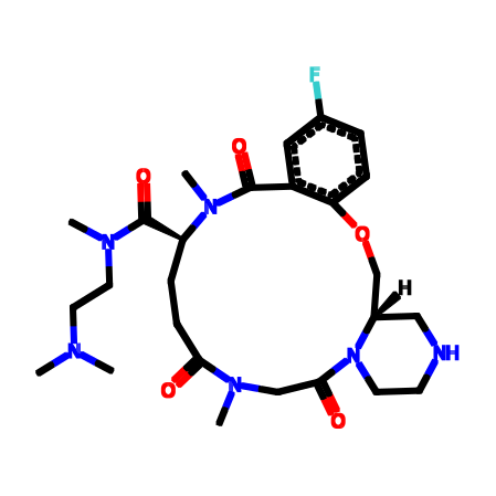 CN(C)CCN(C)C(=O)[C@@H]1CCC(=O)N(C)CC(=O)N2CCNC[C@H]2COc2ccc(F)cc2C(=O)N1C